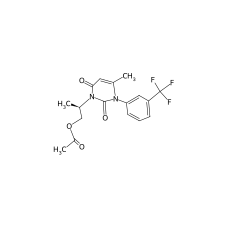 CC(=O)OC[C@@H](C)n1c(=O)cc(C)n(-c2cccc(C(F)(F)F)c2)c1=O